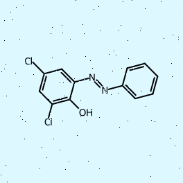 Oc1c(Cl)cc(Cl)cc1N=Nc1ccccc1